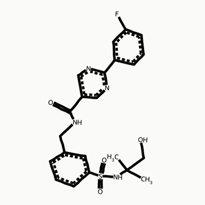 CC(C)(CO)NS(=O)(=O)c1cccc(CNC(=O)c2cnc(-c3cccc(F)c3)nc2)c1